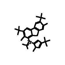 C[C](C)=[Zr]([C]1=CC(C(C)(C)C)=CC1C)[c]1c(C)c(C(C)(C)C)cc2c1Cc1cc(C)c(C(C)(C)C)cc1-2